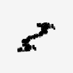 COC(=O)c1cc(C(=O)c2c(C)c(-c3ccc(OCCOCCOCCOc4ccc(-c5c(C)c(C(=O)c6ccc(N)c(C(=O)OC)c6)c6ccccn56)cc4)cc3)n3ccccc23)ccc1N